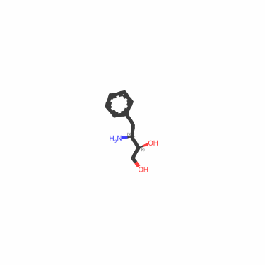 N[C@@H](Cc1ccccc1)[C@@H](O)CO